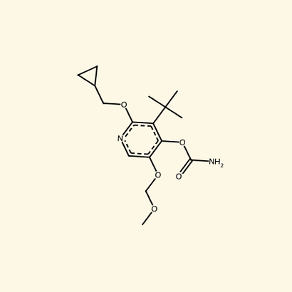 COCOc1cnc(OCC2CC2)c(C(C)(C)C)c1OC(N)=O